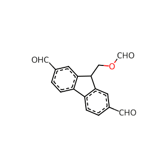 O=COCC1c2cc(C=O)ccc2-c2ccc(C=O)cc21